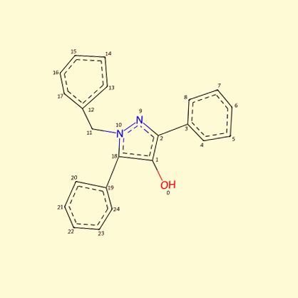 Oc1c(-c2ccccc2)nn(Cc2ccccc2)c1-c1ccccc1